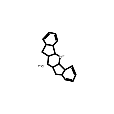 C1=CC2CC3CC4CC5C=CC=CC5[CH]4[Hf+2][CH]3C2C=C1.[Cl-].[Cl-]